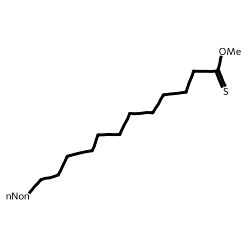 CCCCCCCCCCCCCCCCCCCCC(=S)OC